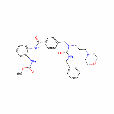 CC(C)(C)OC(=O)Nc1ccccc1NC(=O)c1ccc(CN(CCCN2CCOCC2)C(=O)NCc2ccccc2)cc1